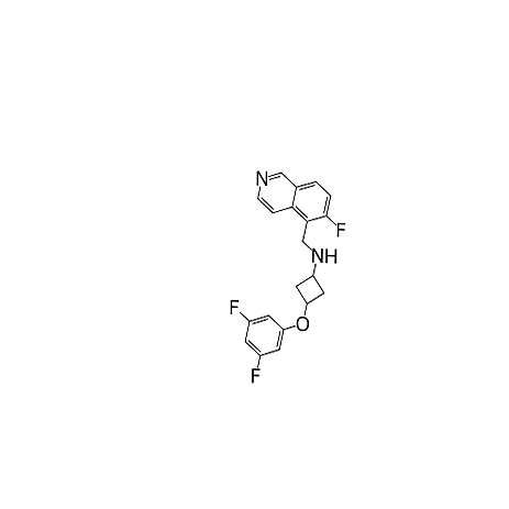 Fc1cc(F)cc(OC2CC(NCc3c(F)ccc4cnccc34)C2)c1